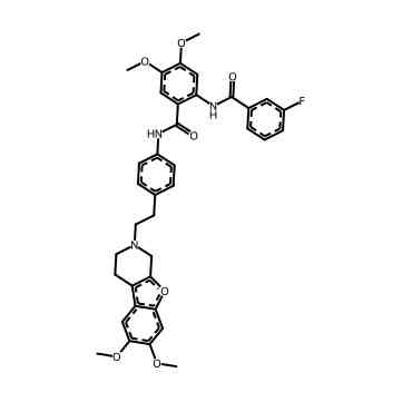 COc1cc(NC(=O)c2cccc(F)c2)c(C(=O)Nc2ccc(CCN3CCc4c(oc5cc(OC)c(OC)cc45)C3)cc2)cc1OC